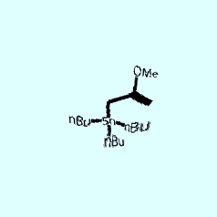 C=C([CH2][Sn]([CH2]CCC)([CH2]CCC)[CH2]CCC)OC